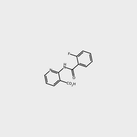 O=C(Nc1ncccc1C(=O)O)c1ccccc1F